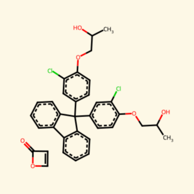 CC(O)COc1ccc(C2(c3ccc(OCC(C)O)c(Cl)c3)c3ccccc3-c3ccccc32)cc1Cl.O=C1C=CO1